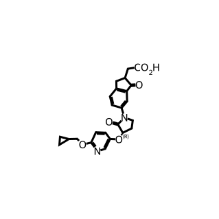 O=C(O)CC1Cc2ccc(N3CC[C@@H](Oc4ccc(OCC5CC5)nc4)C3=O)cc2C1=O